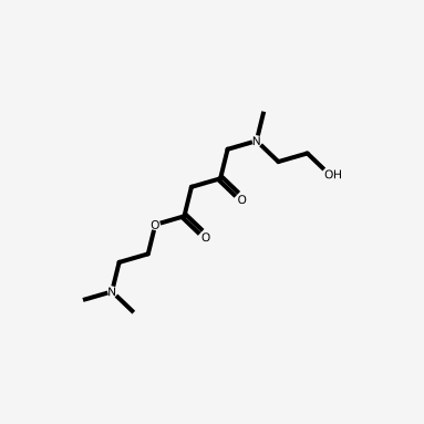 CN(C)CCOC(=O)CC(=O)CN(C)CCO